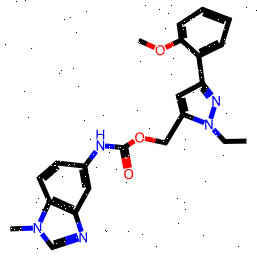 CCn1nc(-c2ccccc2OC)cc1COC(=O)Nc1ccc2c(c1)ncn2C